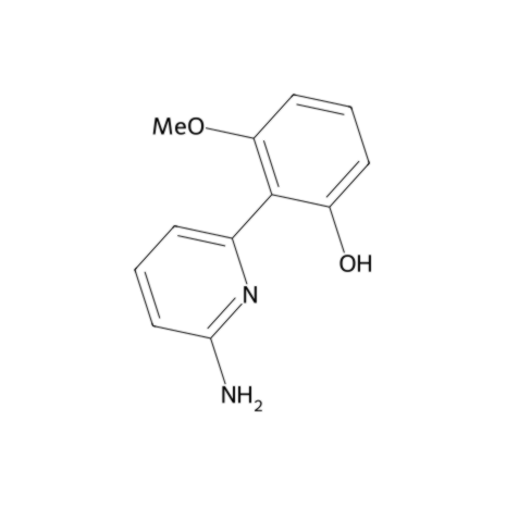 COc1cccc(O)c1-c1cccc(N)n1